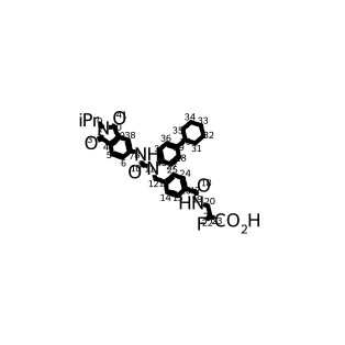 CC(C)N1C(=O)c2ccc(NC(=O)N(Cc3ccc(C(=O)NCC(F)C(=O)O)cc3)c3ccc(C4CCCCC4)cc3)cc2C1=O